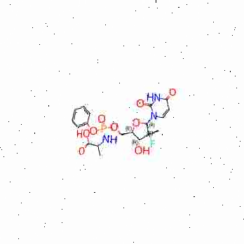 CC(NP(=O)(OC[C@H]1O[C@@H](n2ccc(=O)[nH]c2=O)[C@](C)(F)[C@@H]1O)Oc1ccccc1)C(=O)O